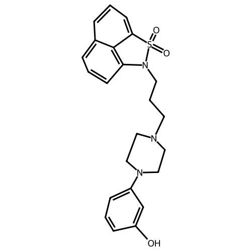 O=S1(=O)c2cccc3cccc(c23)N1CCCN1CCN(c2cccc(O)c2)CC1